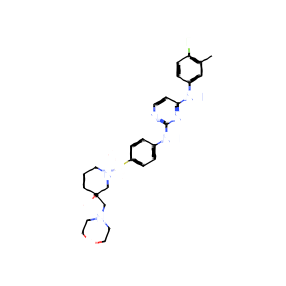 Cc1cc(Nc2ccnc(Nc3ccc(S(=O)(=O)N4CCCC(O)(CN5CCOCC5)C4)cc3)n2)ccc1F